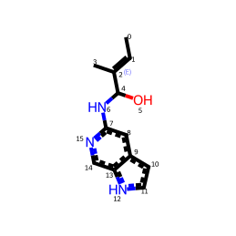 C/C=C(\C)C(O)Nc1cc2cc[nH]c2cn1